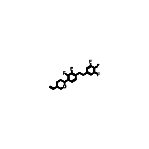 C=CC1CCC(c2ccc(CCc3cc(F)c(F)c(F)c3)c(F)c2F)OC1